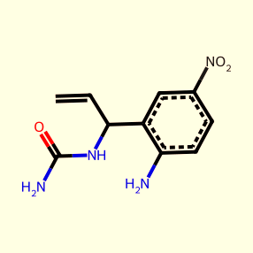 C=CC(NC(N)=O)c1cc([N+](=O)[O-])ccc1N